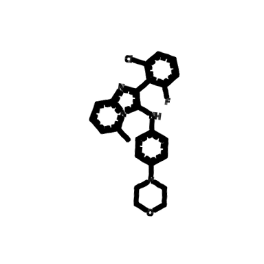 Cc1cccc2nc(-c3c(F)cccc3Cl)c(Nc3ccc(N4CCOCC4)cc3)n12